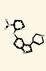 O=[N+]([O-])c1cccnc1Oc1ccc2[nH]cc(C3=CCNCC3)c2c1